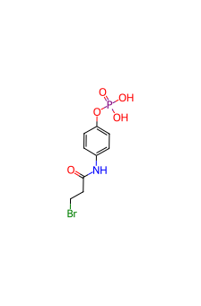 O=C(CCBr)Nc1ccc(OP(=O)(O)O)cc1